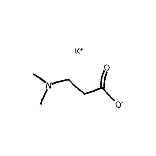 CN(C)CCC(=O)[O-].[K+]